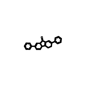 O=C1C2=C(CCC(c3ccccc3)=C2)C2C=CC(c3ccccc3)=CC12